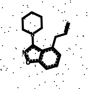 C=CCc1cccc2onc(N3CCCCC3)c12